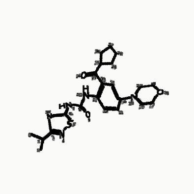 CC(C)c1nsc(NC(=O)Nc2ccc(N3CCOCC3)cc2C(=O)C2CCCC2)n1